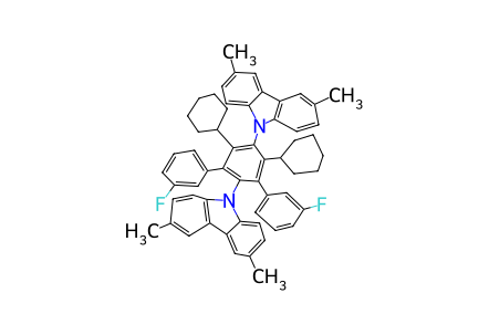 Cc1ccc2c(c1)c1cc(C)ccc1n2-c1c(-c2cccc(F)c2)c(C2CCCCC2)c(-n2c3ccc(C)cc3c3cc(C)ccc32)c(C2CCCCC2)c1-c1cccc(F)c1